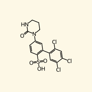 O=C1NCCCN1c1ccc(S(=O)(=O)O)c(-c2cc(Cl)c(Cl)cc2Cl)c1